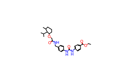 CCOC(=O)c1ccc(NC(=O)Nc2ccc(CNC(=O)COC3CCCC(C)C3C(C)C)cc2)cc1